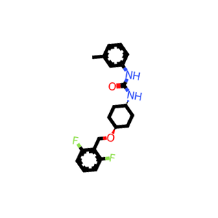 Cc1cccc(NC(=O)N[C@H]2CC[C@H](OCc3c(F)cccc3F)CC2)c1